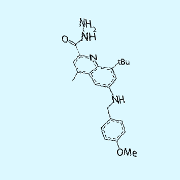 COc1ccc(CNc2cc(C(C)(C)C)c3nc(C(=O)NN)cc(C)c3c2)cc1